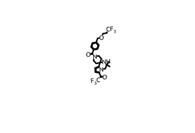 CC1(C)Cn2c(C(=O)C(F)(F)F)ccc2C2(CCN(C(=O)c3ccc(COCCC(F)(F)F)cc3)CC2)N1